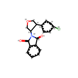 O=C1c2ccccc2C(=O)N1C1COCC1c1ccc(Cl)cc1